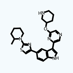 CC1CCCCN1c1nc(-c2ccc3[nH]cc(-c4cncc(OC5CCCNC5)n4)c3c2)cs1